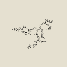 C=Cc1ccc2nc(OCOCC)cc(O[C@H]3CN[C@H](C(=O)O)C3)c2c1.Cl